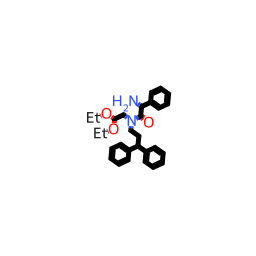 CCOC(CN(CCC(c1ccccc1)c1ccccc1)C(=O)C(N)c1ccccc1)OCC